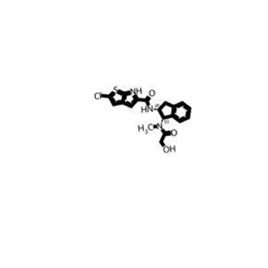 CN(C(=O)CO)[C@H]1c2ccccc2C[C@H]1NC(=O)c1cc2cc(Cl)sc2[nH]1